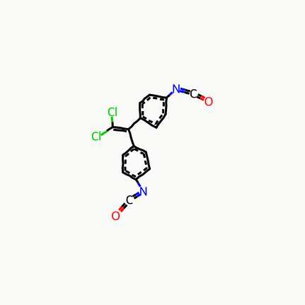 O=C=Nc1ccc(C(=C(Cl)Cl)c2ccc(N=C=O)cc2)cc1